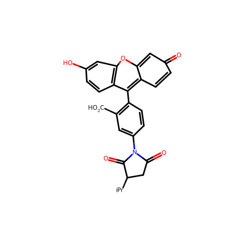 CC(C)C1CC(=O)N(c2ccc(-c3c4ccc(=O)cc-4oc4cc(O)ccc34)c(C(=O)O)c2)C1=O